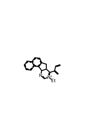 C=CC(=C)C1=[N+](CC)C=NC2c3c(ccc4ccccc34)CC12